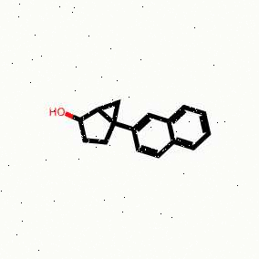 OC1CCC2(c3ccc4ccccc4c3)CC12